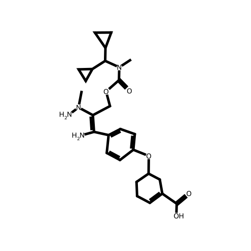 CN(N)/C(COC(=O)N(C)C(C1CC1)C1CC1)=C(\N)c1ccc(OC2CCC=C(C(=O)O)C2)cc1